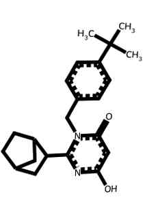 CC(C)(C)c1ccc(Cn2c(C3CC4CCC3C4)nc(O)cc2=O)cc1